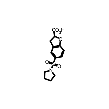 O=C(O)C1Cc2cc(S(=O)(=O)N3CCCC3)ccc2O1